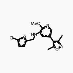 COc1ncc(-c2c(C)noc2C)cc1NCc1ccc(Cl)s1